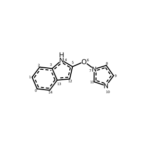 c1ccc2[nH]c(On3ccnc3)cc2c1